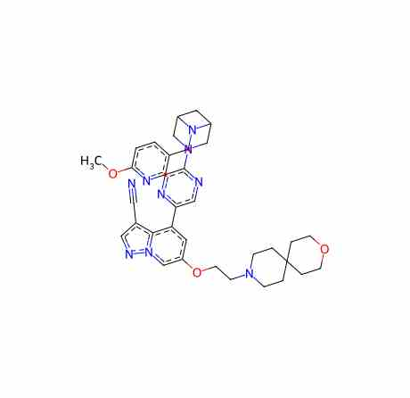 COc1ccc(CN2C3CC2CN(c2cnc(-c4cc(OCCN5CCC6(CCOCC6)CC5)cn5ncc(C#N)c45)cn2)C3)cn1